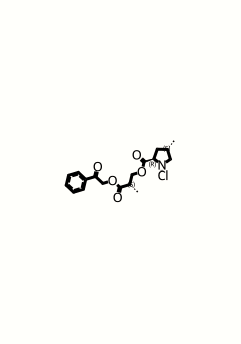 C[C@H]1C[C@H](C(=O)OC[C@H](C)C(=O)OCC(=O)c2ccccc2)N(Cl)C1